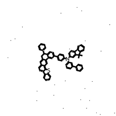 CC1(C)c2ccccc2-c2ccc(N(c3ccc(-c4ccc5c(c4)-c4cc6c(ccc7c8ccccc8sc67)cc4CC5c4ccccc4)cc3)c3cccc(-c4ccccc4)c3)cc21